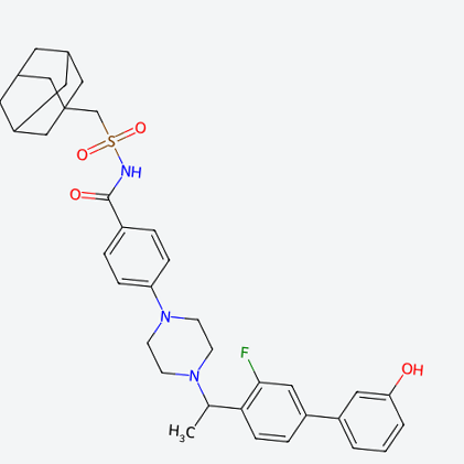 CC(c1ccc(-c2cccc(O)c2)cc1F)N1CCN(c2ccc(C(=O)NS(=O)(=O)CC34CC5CC(CC(C5)C3)C4)cc2)CC1